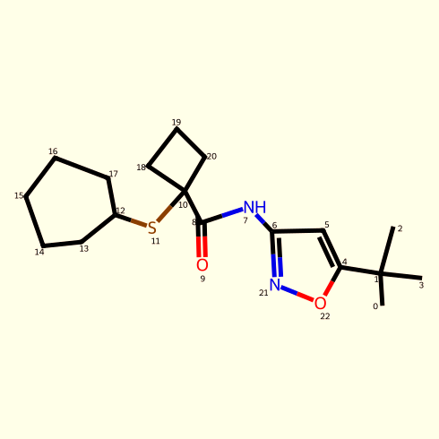 CC(C)(C)c1cc(NC(=O)C2(SC3CCCCC3)CCC2)no1